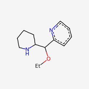 CCOC(c1ccccn1)C1CCCCN1